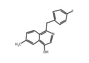 Cc1ccc2c(Cc3ccc(F)cc3)ncc(O)c2c1